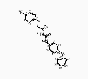 O=C(CCc1ccc(F)cc1)NC(=S)Nc1ccc(Oc2ccccc2)cc1